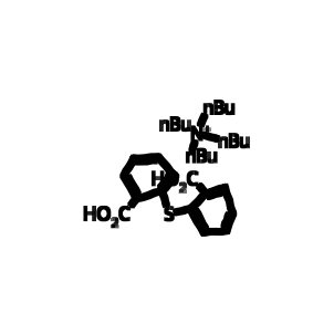 CCCC[N+](CCCC)(CCCC)CCCC.O=C(O)c1ccccc1Sc1ccccc1C(=O)O